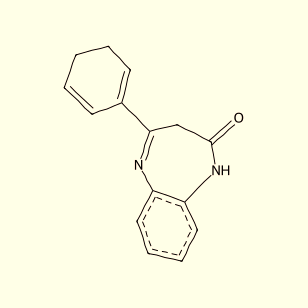 O=C1CC(C2=CCCC=C2)=Nc2ccccc2N1